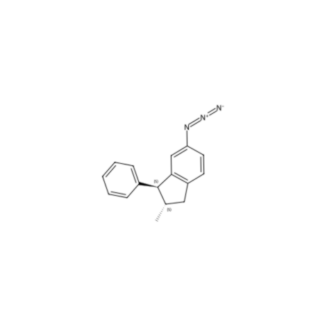 C[C@H]1Cc2ccc(N=[N+]=[N-])cc2[C@@H]1c1ccccc1